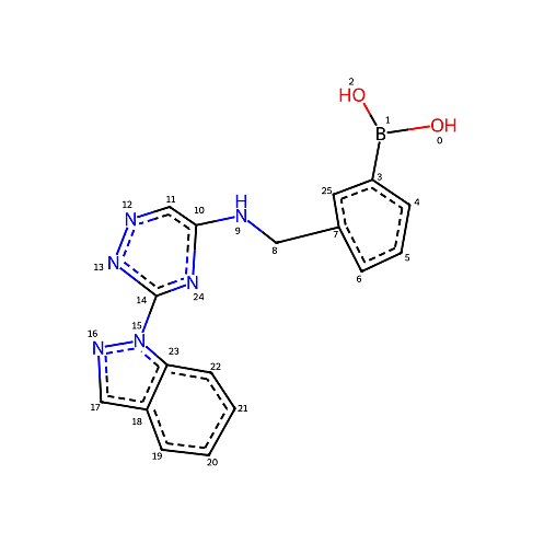 OB(O)c1cccc(CNc2cnnc(-n3ncc4ccccc43)n2)c1